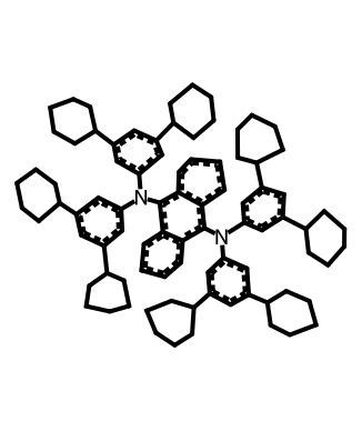 c1ccc2c(N(c3cc(C4CCCCC4)cc(C4CCCCC4)c3)c3cc(C4CCCCC4)cc(C4CCCCC4)c3)c3ccccc3c(N(c3cc(C4CCCCC4)cc(C4CCCCC4)c3)c3cc(C4CCCCC4)cc(C4CCCCC4)c3)c2c1